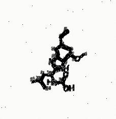 C=Cc1cc(OC)c2[nH]c(C(CC(C)C)NC(=O)O)nc2c1